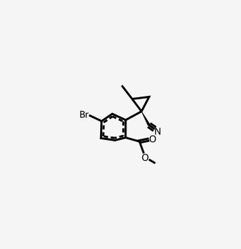 COC(=O)c1ccc(Br)cc1[C@@]1(C#N)CC1C